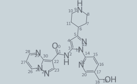 O=C(Nc1cc(C2CCNCC2)nn1-c1ccc(CO)cn1)c1cnn2cccnc12